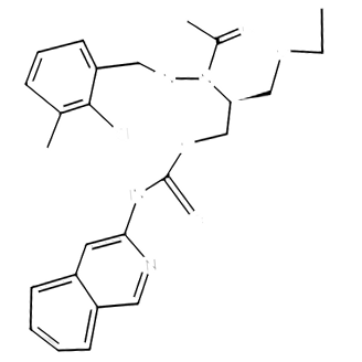 [CH2]COC[C@@H](COC(=O)Nc1cc2ccccc2cn1)N(NCc1cccc(F)c1Cl)C(C)=O